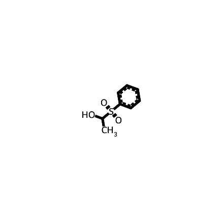 CC(O)S(=O)(=O)c1ccccc1